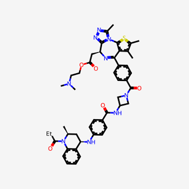 CCC(=O)N1c2ccccc2[C@H](Nc2ccc(C(=O)NC3CN(C(=O)c4ccc(C5=N[C@@H](CC(=O)OCCN(C)C)c6nnc(C)n6-c6sc(C)c(C)c65)cc4)C3)cc2)C[C@@H]1C